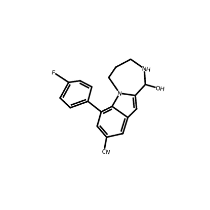 N#Cc1cc(-c2ccc(F)cc2)c2c(c1)cc1n2CCCNC1O